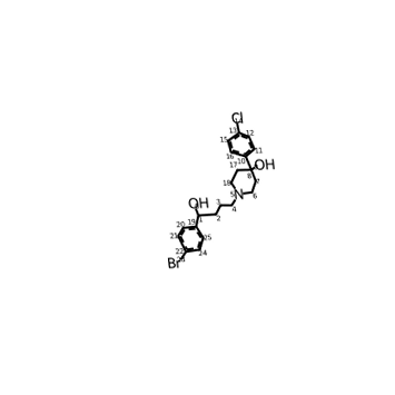 OC(CCCN1CCC(O)(c2ccc(Cl)cc2)CC1)c1ccc(Br)cc1